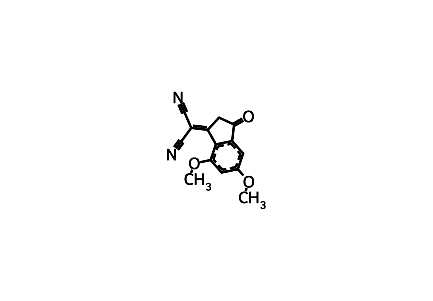 COc1cc(OC)c2c(c1)C(=O)CC2=C(C#N)C#N